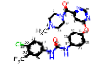 CN1CCN(C(=O)c2cc(Oc3ccc(NC(=O)Nc4ccc(Cl)c(C(F)(F)F)c4)cc3)ncn2)CC1